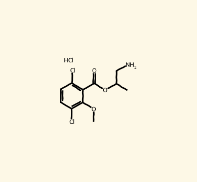 COc1c(Cl)ccc(Cl)c1C(=O)OC(C)CN.Cl